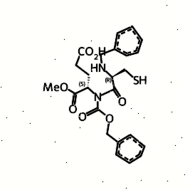 COC(=O)[C@H](CCC(=O)O)N(C(=O)OCc1ccccc1)C(=O)[C@H](CS)NCc1ccccc1